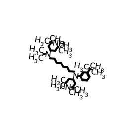 CC(C)N(CCCCCCCCN(c1cccc(C(C)(C)C)c1)C1CC(C)(C)NC(C)(C)C1)C1CC(C)(C)NC(C)(C)C1